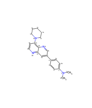 CN(C)c1ccc(-c2cnc3c(N4CCCCC4)ccnc3c2)cc1